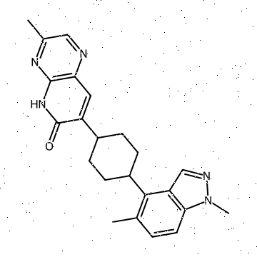 Cc1cnc2cc(C3CCC(c4c(C)ccc5c4cnn5C)CC3)c(=O)[nH]c2n1